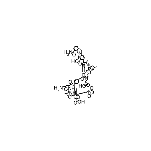 CCCC1(OCCN(CCS(=O)O)C(=O)OCc2ccc(NC(=O)C(CCCN)NC(=O)[C@@H](NC(=O)[C@H](CCC(=O)O)NC(=O)CCCCCN3C(=O)C=CC3=O)C(C)C)cc2)CC2(CN/C(C)=C(\C=N)c3ccc(N4CCc5cccc(C(N)=O)c5C4)nc3C(=O)O)CC(C)CN21